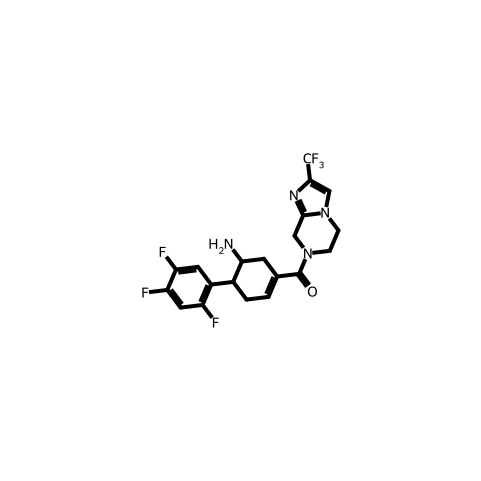 NC1CC(C(=O)N2CCn3cc(C(F)(F)F)nc3C2)=CCC1c1cc(F)c(F)cc1F